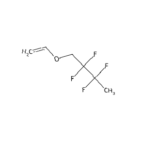 C=COCC(F)(F)C(C)(F)F